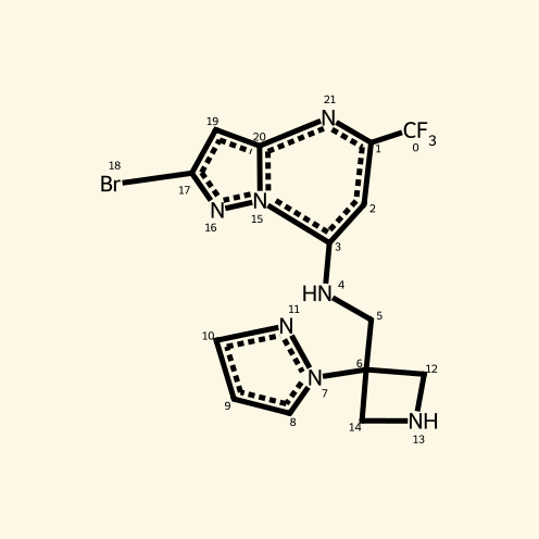 FC(F)(F)c1cc(NCC2(n3cccn3)CNC2)n2nc(Br)cc2n1